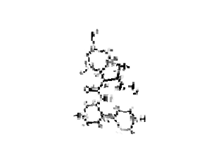 CN1CC(F)CN2NC(N)C(C(=O)NC3CNCCC3C3CCNCC3)C12